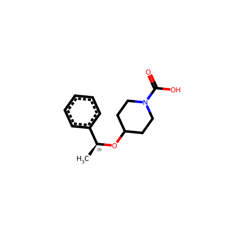 C[C@H](OC1CCN(C(=O)O)CC1)c1ccccc1